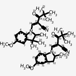 COc1ccc2c(c1)C(C)(C)C(C)N2C=C(C#N)C(=O)C(C)(C)C.COc1ccc2c(c1)CC(C)N2C=C(C#N)C(=O)C(C)(C)C